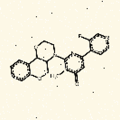 Cn1c(N2CCOC3c4ccccc4OCC32)nc(-c2ccncc2F)cc1=O